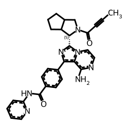 CC#CC(=O)N1CC2CCCC2[C@H]1c1nc(-c2ccc(C(=O)Nc3ccccn3)cc2)c2c(N)nccn12